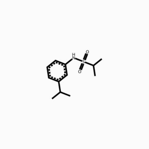 CC(C)c1cccc(NS(=O)(=O)C(C)C)c1